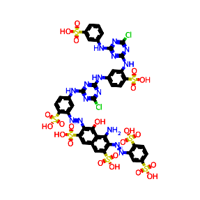 Nc1c(/N=N/c2cc(S(=O)(=O)O)ccc2S(=O)(=O)O)c(S(=O)(=O)O)cc2cc(S(=O)(=O)O)c(/N=N/c3cc(Nc4nc(Cl)nc(Nc5ccc(S(=O)(=O)O)c(Nc6nc(Cl)nc(Nc7cccc(S(=O)(=O)O)c7)n6)c5)n4)ccc3S(=O)(=O)O)c(O)c12